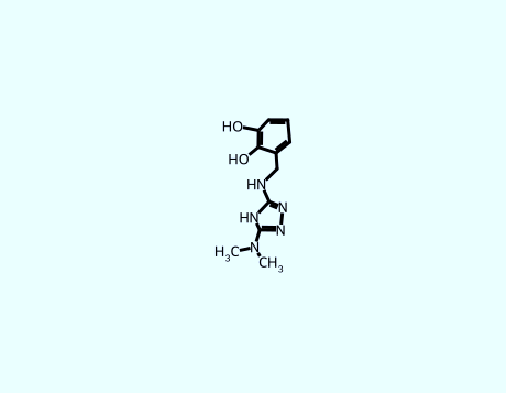 CN(C)c1nnc(NCc2cccc(O)c2O)[nH]1